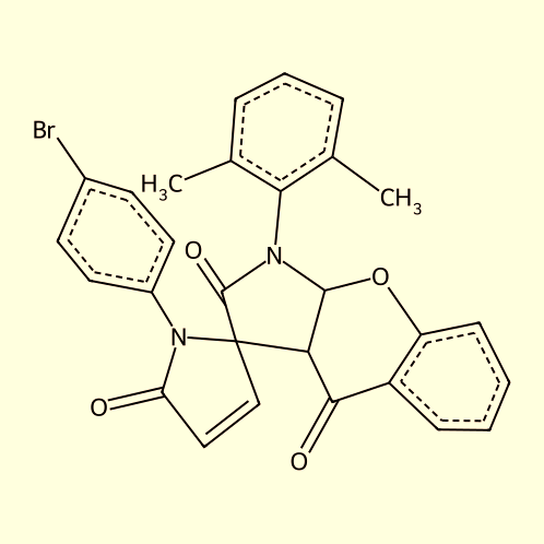 Cc1cccc(C)c1N1C(=O)C2(C=CC(=O)N2c2ccc(Br)cc2)C2C(=O)c3ccccc3OC21